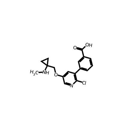 CNC1(COc2cnc(Cl)c(-c3cccc(C(=O)O)c3)c2)CC1